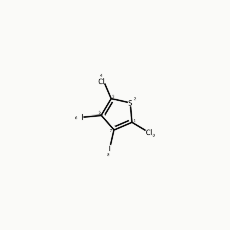 Clc1sc(Cl)c(I)c1I